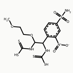 COCCOC(NC(=S)S)C(NC(=S)S)c1ccc(S(N)(=O)=O)cc1[N+](=O)[O-]